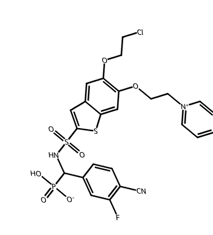 N#Cc1ccc(C(NS(=O)(=O)c2cc3cc(OCCCl)c(OCC[n+]4ccccc4)cc3s2)P(=O)([O-])O)cc1F